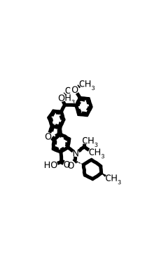 COc1ccccc1C(OC)c1ccc2oc3cc(C(=O)O)c(N(C(=O)[C@H]4CC[C@H](C)CC4)C(C)C)cc3c2c1